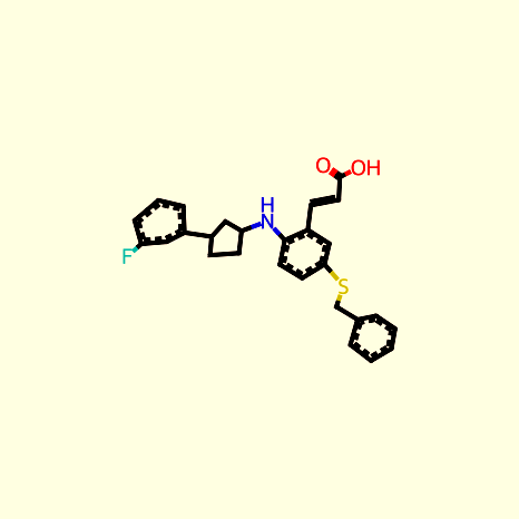 O=C(O)C=Cc1cc(SCc2ccccc2)ccc1NC1CCC(c2cccc(F)c2)C1